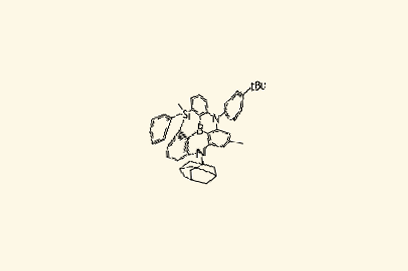 Cc1cc2c3c(c1)N(C14CC5CC(CC(C5)C1)C4)c1cccc4c1B3c1c(cccc1[Si]4(C)c1ccccc1)N2c1ccc(C(C)(C)C)cc1